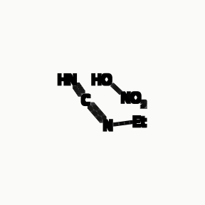 CCN=C=N.O=[N+]([O-])O